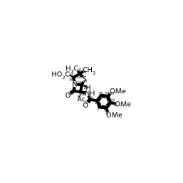 COc1cc(C(=O)N[C@@]2(C(C)=O)C(=O)N3[C@@H](C(=O)O)C(C)(C)S[C@@H]32)cc(OC)c1OC